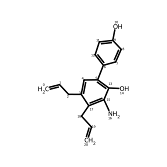 C=CCc1cc(-c2ccc(O)cc2)c(O)c(N)c1CC=C